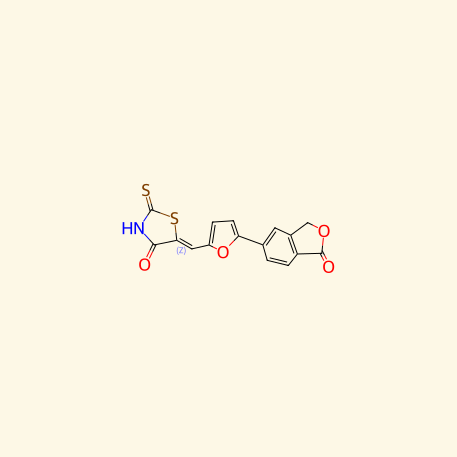 O=C1NC(=S)S/C1=C\c1ccc(-c2ccc3c(c2)COC3=O)o1